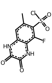 Cc1cc2[nH]c(=O)c(=O)[nH]c2c(F)c1S(=O)(=O)Cl